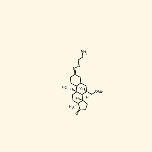 COC[C@@H]1CC2CC(=NOCCN)CC[C@]2(C)[C@H]2CC[C@]3(C)C(=O)CC[C@H]3[C@H]12.Cl